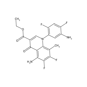 CCOC(=O)c1cn(-c2cc(N)c(F)cc2F)c2c(C)c(F)c(F)c(N)c2c1=O